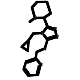 CN1CCCCC1c1nnc(SCc2ccccn2)n1CC1CC1